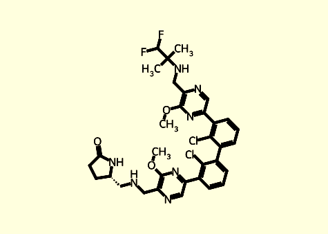 COc1nc(-c2cccc(-c3cccc(-c4cnc(CNC(C)(C)C(F)F)c(OC)n4)c3Cl)c2Cl)cnc1CNC[C@@H]1CCC(=O)N1